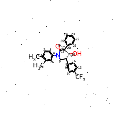 Cc1ccc(N(CCc2ccc(C(F)(F)F)cc2)C(=O)[C@@H](CO)c2ccccc2)cc1C